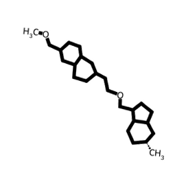 COCC1CCC2CC(CCOCC3CCC4C[C@H](C)CCC34)CCC2C1